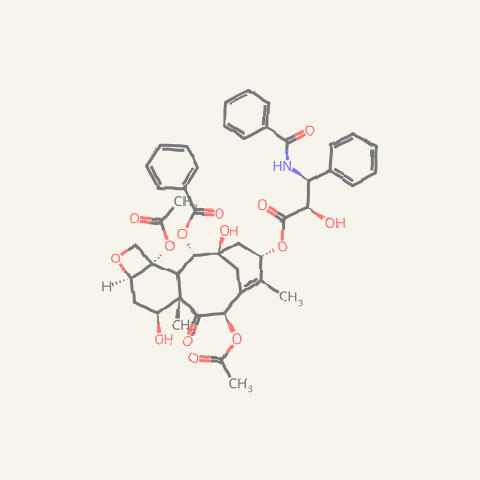 CC(=O)O[C@H]1C(=O)[C@@]2(C)C([C@H](OC(=O)c3ccccc3)[C@@]3(O)CC1=C(C)[C@@H](OC(=O)[C@H](O)[C@@H](NC(=O)c1ccccc1)c1ccccc1)C3)[C@]1(OC(C)=O)CO[C@@H]1C[C@@H]2O